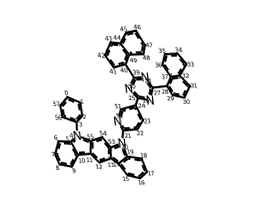 c1ccc(-n2c3ccccc3c3cc4c5ccccc5n(-c5ccc(-c6nc(-c7cccc8ccccc78)nc(-c7cccc8ccccc78)n6)cn5)c4cc32)cc1